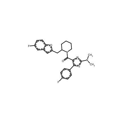 CN(C)c1nc(C(=O)N2CCCCC2Cc2cc3cc(F)ccc3o2)c(-c2ccc(F)cc2)s1